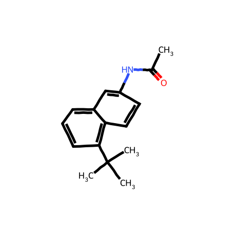 CC(=O)Nc1ccc2c(C(C)(C)C)cccc2c1